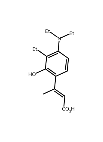 CCc1c(N(CC)CC)ccc(C(C)=CC(=O)O)c1O